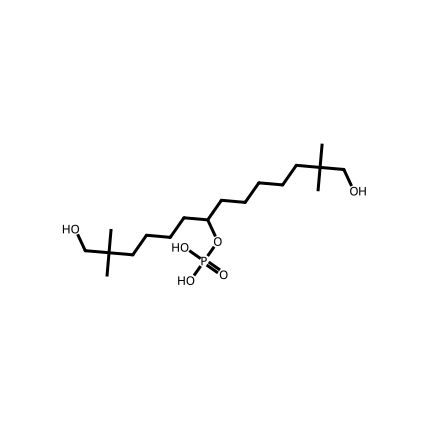 CC(C)(CO)CCCCCC(CCCCC(C)(C)CO)OP(=O)(O)O